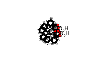 O=C(O)c1ccccc1S(=O)(c1ccccc1C(=O)O)(P(Cc1ccccc1)(c1ccccc1)(c1ccccc1)c1ccccc1)P(Cc1ccccc1)(c1ccccc1)(c1ccccc1)c1ccccc1